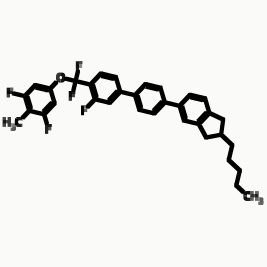 CCCCCC1Cc2ccc(-c3ccc(-c4ccc(C(F)(F)Oc5cc(F)c(C)c(F)c5)c(F)c4)cc3)cc2C1